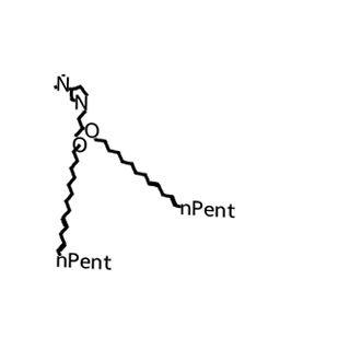 CCCCCC=CCC=CCCCCCCCCOCC(CCN1CCC(N(C)C)C1)OCCCCCCCCC=CCC=CCCCCC